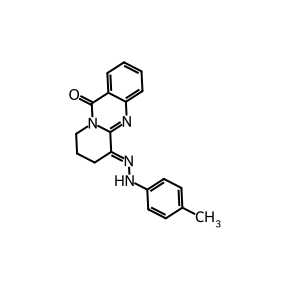 Cc1ccc(N/N=C2\CCCn3c2nc2ccccc2c3=O)cc1